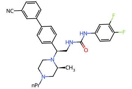 CCCN1CCN([C@H](CNC(=O)Nc2ccc(F)c(F)c2)c2ccc(-c3cccc(C#N)c3)cc2)[C@@H](C)C1